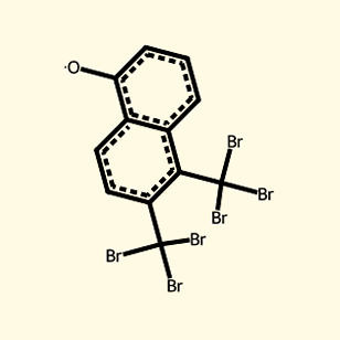 [O]c1cccc2c(C(Br)(Br)Br)c(C(Br)(Br)Br)ccc12